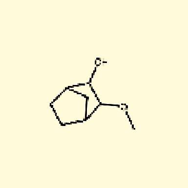 COC1C2CCC(C2)C1O